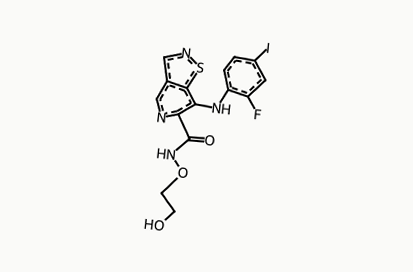 O=C(NOCCO)c1ncc2cnsc2c1Nc1ccc(I)cc1F